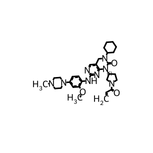 C=CC(=O)N1CC[C@H](N2C(=O)N(C3CCCCC3)Cc3cnc(Nc4ccc(N5CCN(C)CC5)cc4OC)nc32)C1